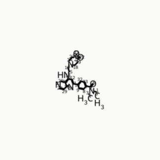 CCN(CC)C(=O)c1ccc(-c2cc(NCCN3CCS(=O)(=O)CC3)c3cnccc3n2)cc1